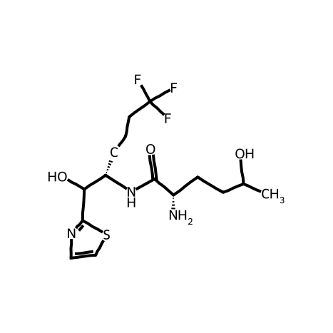 CC(O)CC[C@H](N)C(=O)N[C@@H](CCCC(F)(F)F)C(O)c1nccs1